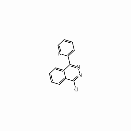 Clc1nnc(-c2ccccn2)c2ccccc12